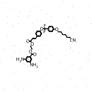 N#CCCCCCCOc1ccc(C(F)(F)Oc2ccc(C=CC(=O)OCCOC(=O)c3cc(N)cc(N)c3)cc2)cc1